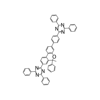 CC1(c2ccccc2)Oc2cc(-c3ccc(-c4nc(-c5ccccc5)nc(-c5ccccc5)n4)cc3)ccc2-c2ccc(-c3nc(-c4ccccc4)nc(-c4ccccc4)n3)cc21